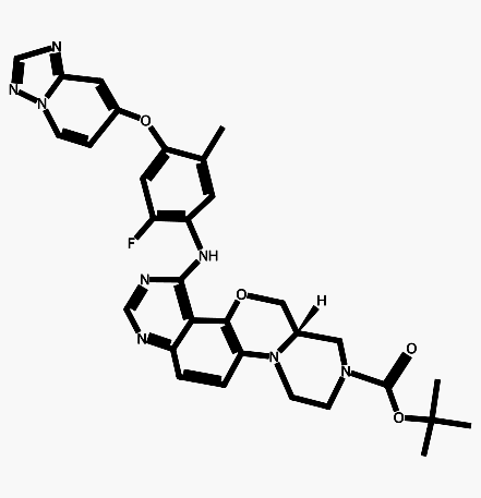 Cc1cc(Nc2ncnc3ccc4c(c23)OC[C@@H]2CN(C(=O)OC(C)(C)C)CCN42)c(F)cc1Oc1ccn2ncnc2c1